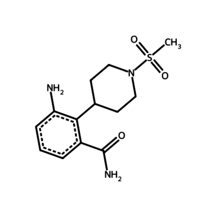 CS(=O)(=O)N1CCC(c2c(N)cccc2C(N)=O)CC1